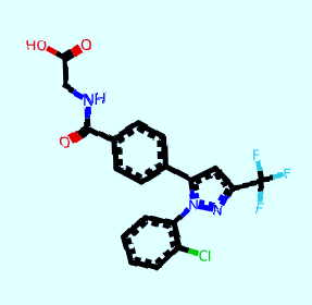 O=C(O)CNC(=O)c1ccc(-c2cc(C(F)(F)F)nn2-c2ccccc2Cl)cc1